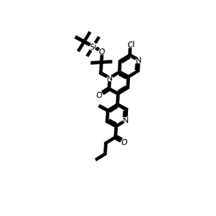 CCCC(=O)c1cc(C)c(-c2cc3cnc(Cl)cc3n(CC(C)(C)O[Si](C)(C)C(C)(C)C)c2=O)cn1